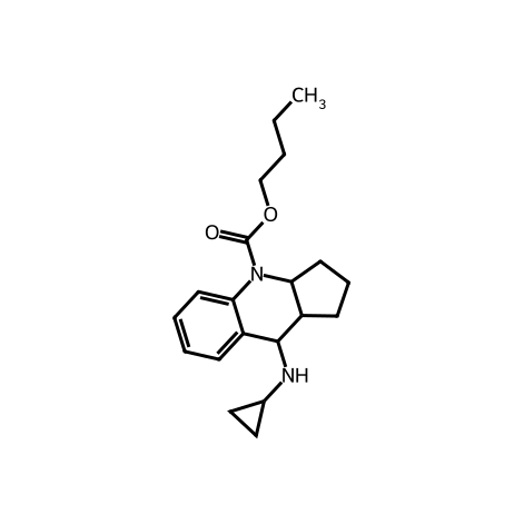 CCCCOC(=O)N1c2ccccc2C(NC2CC2)C2CCCC21